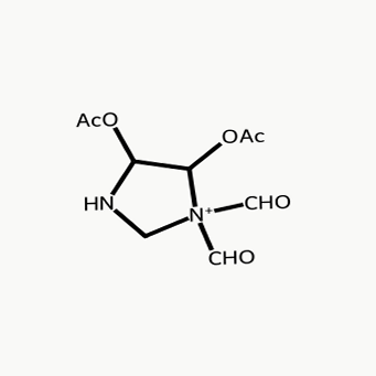 CC(=O)OC1NC[N+](C=O)(C=O)C1OC(C)=O